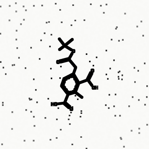 Cc1c(C(=O)O)ccc(CC(=O)OC(C)(C)C)c1C(=O)O